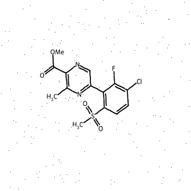 COC(=O)c1ncc(-c2c(S(C)(=O)=O)ccc(Cl)c2F)nc1C